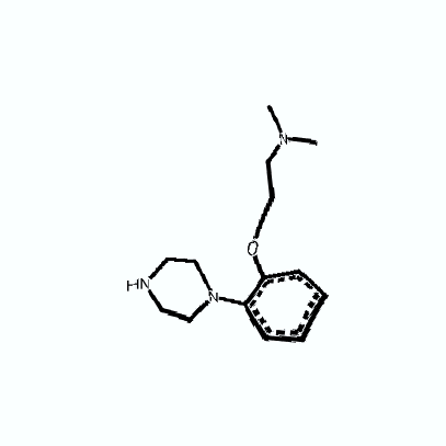 CN(C)CCOc1ccccc1N1CCNCC1